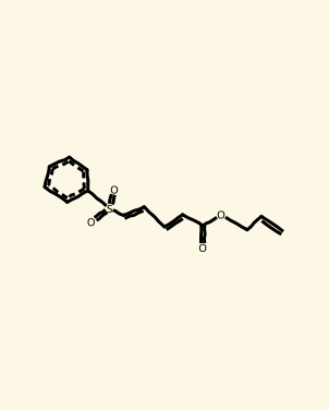 C=CCOC(=O)C=CC=CS(=O)(=O)c1ccccc1